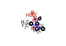 Cc1ccc(NC(=O)[C@H]2CCCN(C(=O)c3c(C)cccc3F)[C@H]2c2ccc(N(C(=O)OCO[PH](=O)O)C3CCCC3)cc2)cc1C(F)(F)F